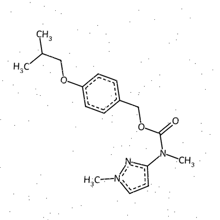 CC(C)COc1ccc(COC(=O)N(C)c2ccn(C)n2)cc1